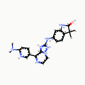 CN(C)c1ccc(-c2nccn3nc(Nc4ccc5c(c4)NC(=O)C5(C)C)nc23)cn1